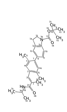 C/C(=C\c1cc(C)c(-c2ccc3c(c2)CCN3C(=O)OC(C)(C)C)cc1C)C(=O)NC(C)C